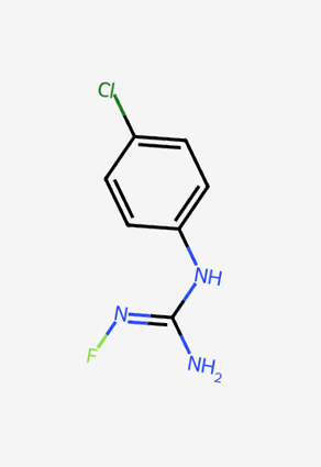 NC(=NF)Nc1ccc(Cl)cc1